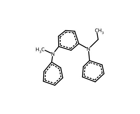 CCN(c1ccccc1)c1cccc(N(C)c2ccccc2)c1